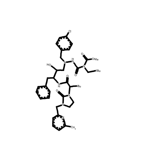 CCC(C)C(C(=O)NC(Cc1ccccc1)C(O)CN(Cc1ccc(Cl)cc1)NC(=O)N(CC(C)(C)C)C(=O)OC)N1CCN(Cc2cccc(C)n2)C1=O